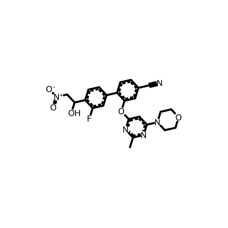 Cc1nc(Oc2cc(C#N)ccc2-c2ccc(C(O)C[N+](=O)[O-])c(F)c2)cc(N2CCOCC2)n1